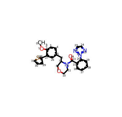 COc1ccc(CC2COCCN2C(=O)c2ccccc2-n2nccn2)cc1-c1cccs1